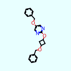 c1ccc(COc2cnc(OC3CC(OCc4ccccc4)C3)nc2)cc1